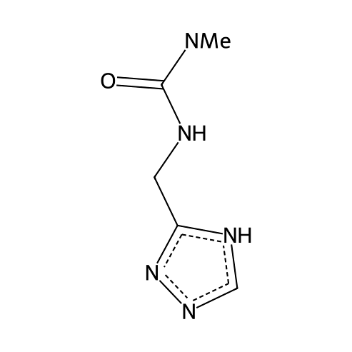 CNC(=O)NCc1nnc[nH]1